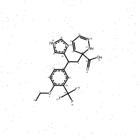 CCOc1ccc(C(CC2(C(=O)O)C=CC=NN2)c2c[nH]cn2)cc1C(F)(F)F